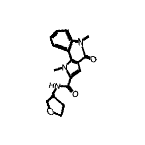 Cn1c(C(=O)NC2CCOC2)cc2c(=O)n(C)c3ccccc3c21